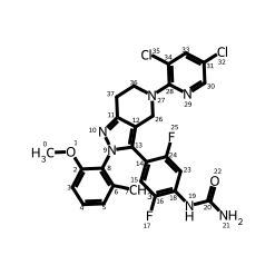 COc1cccc(C)c1-n1nc2c(c1-c1cc(F)c(NC(N)=O)cc1F)CN(c1ncc(Cl)cc1Cl)CC2